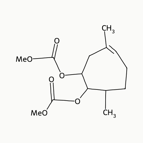 COC(=O)OC1CC(C)=CCCC(C)C1OC(=O)OC